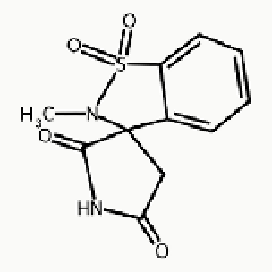 CN1C2(CC(=O)NC2=O)c2ccccc2S1(=O)=O